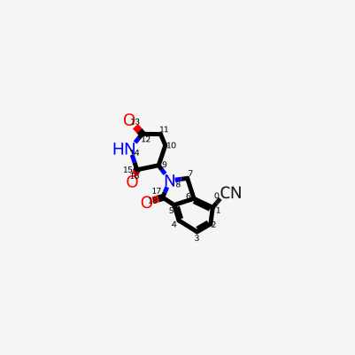 N#Cc1cccc2c1CN(C1CCC(=O)NC1=O)C2=O